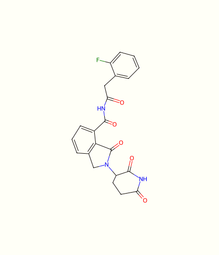 O=C(Cc1ccccc1F)NC(=O)c1cccc2c1C(=O)N(C1CCC(=O)NC1=O)C2